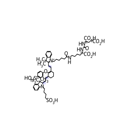 CC1(C)C(/C=C/C2=C(Oc3ccc(S(=O)(=O)O)cc3)C(=C/C=C3/N(CCCCS(=O)(=O)O)c4ccccc4C3(C)C)/CCC2)=[N+](CCCCCC(=O)NCCCC[C@H](NC(=O)N[C@@H](CCC(=O)O)C(=O)O)C(=O)O)c2ccccc21